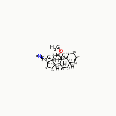 CO[C@H]1C[C@]2(C)[C@@H](C#N)CC[C@H]2[C@@H]2CC[C@H]3C=CCC[C@]3(C)[C@H]21